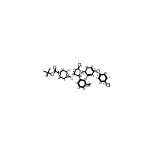 CC(C)(C)OC(=O)N1CCN(C[C@@H]2OC(=O)N(C3C=CC(Oc4ccc(Cl)cc4)=CC3)[C@H]2c2cccc(F)c2)CC1